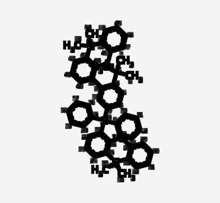 CC(C)(C)c1ccc([Si](c2ccccc2)(c2ccccc2)c2cccc3c2Sc2ccccc2[Si]3(C)C)cc1-c1cccc2c1Sc1ccccc1[Si]2(C)C